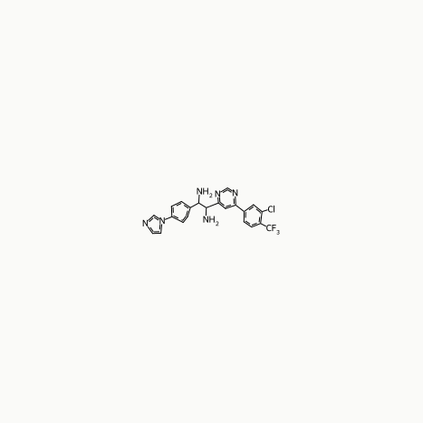 NC(c1ccc(-n2ccnc2)cc1)C(N)c1cc(-c2ccc(C(F)(F)F)c(Cl)c2)ncn1